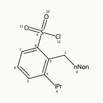 CCCCCCCCCCc1c(C(C)C)cccc1S(=O)(=O)Cl